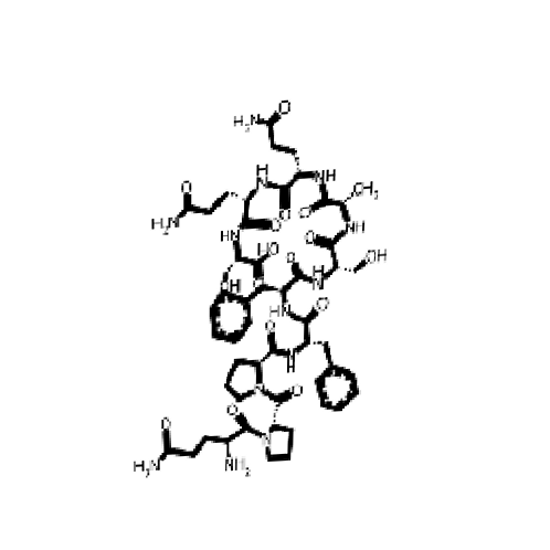 C[C@H](NC(=O)[C@H](CO)NC(=O)[C@H](Cc1ccccc1)NC(=O)[C@H](Cc1ccccc1)NC(=O)[C@@H]1CCCN1C(=O)[C@@H]1CCCN1C(=O)[C@@H](N)CCC(N)=O)C(=O)N[C@@H](CCC(N)=O)C(=O)N[C@@H](CCC(N)=O)C(=O)N[C@@H](CO)C(=O)O